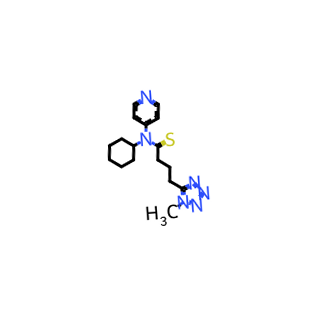 Cn1nnnc1CCCC(=S)N(c1ccncc1)C1CCCCC1